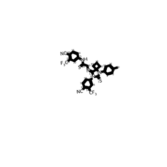 Cc1ccc(N2C(=S)N(c3ccc(C#N)c(C(F)(F)F)c3)/C(=N/CC(=S)Nc3ccc(C#N)c(C(F)(F)F)c3)C23CCC3)cc1